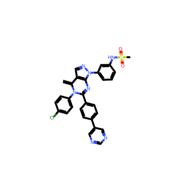 C=C1c2cnn(-c3cccc(NS(C)(=O)=O)c3)c2N=C(c2ccc(-c3cncnc3)cc2)N1c1ccc(Cl)cc1